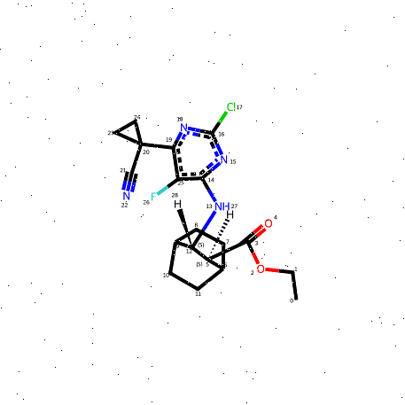 CCOC(=O)[C@H]1C2CCC(CC2)[C@@H]1Nc1nc(Cl)nc(C2(C#N)CC2)c1F